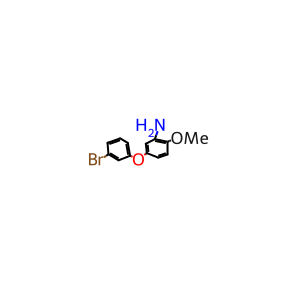 COc1ccc(Oc2cccc(Br)c2)cc1N